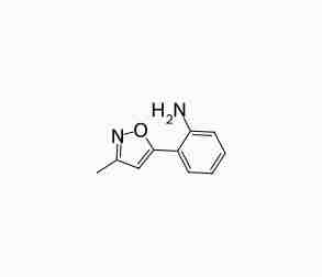 Cc1cc(-c2ccccc2N)on1